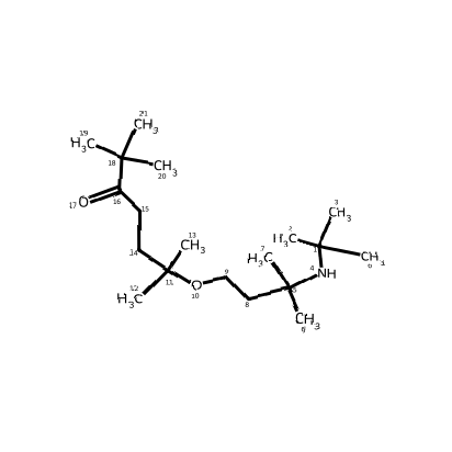 CC(C)(C)NC(C)(C)CCOC(C)(C)CCC(=O)C(C)(C)C